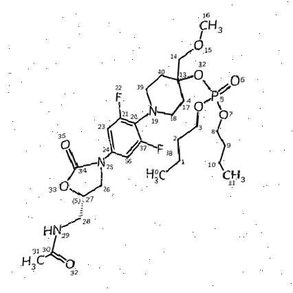 CCCCOP(=O)(OCCCC)OC1(COC)CCN(c2c(F)cc(N3C[C@H](CNC(C)=O)OC3=O)cc2F)CC1